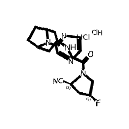 Cl.Cl.N#C[C@@H]1C[C@H](F)CN1C(=O)CNC1CC2CCC(C1)N2c1cnccn1